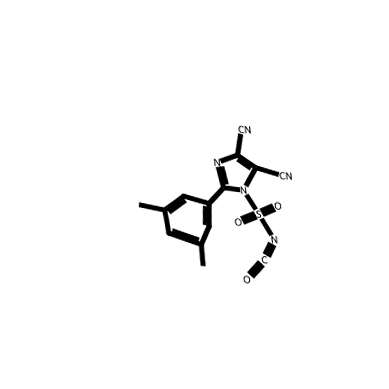 Cc1cc(C)cc(-c2nc(C#N)c(C#N)n2S(=O)(=O)N=C=O)c1